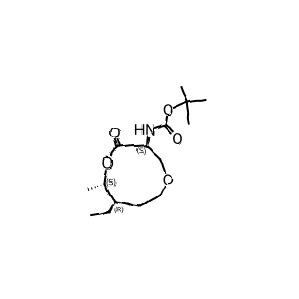 CC[C@@H]1CCOC[C@H](NC(=O)OC(C)(C)C)C(=O)O[C@H]1C